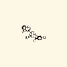 CC(C)(CNC(=O)c1ccc(Cl)cc1)CNC(=NC#N)Nc1ccccc1F